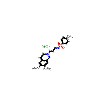 COc1cc2c(cc1OC)CN(CCCNS(=O)(=O)c1ccc(C)cc1)CC2.Cl